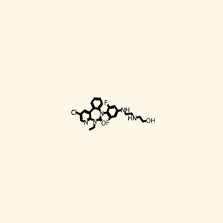 CCN1C(=O)N(c2c(F)cc(NCCNCCO)cc2F)c2ccccc2-c2cc(Cl)cnc21